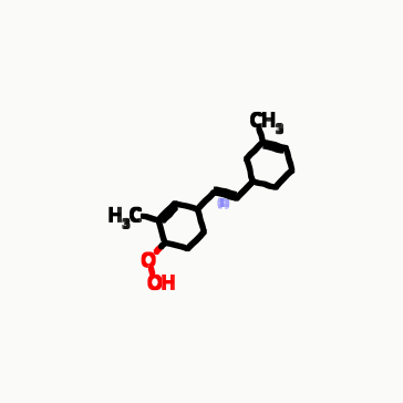 CC1=CCCC(/C=C/C2C=C(C)C(OO)CC2)C1